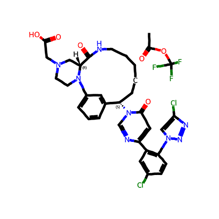 CC(=O)OC(F)(F)F.O=C(O)CN1CCN2c3cccc(c3)[C@@H](n3cnc(-c4cc(Cl)ccc4-n4cc(Cl)nn4)cc3=O)CCCCCNC(=O)[C@H]2C1